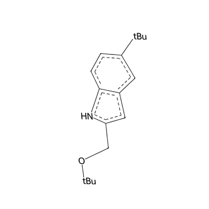 CC(C)(C)OCc1cc2cc(C(C)(C)C)ccc2[nH]1